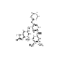 Cc1cc(Nc2ncc(CN3CCCCC3)c(Nc3ccc4oc(=O)[nH]c4c3)n2)cc(C)c1C